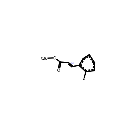 CC(C)(C)OC(=O)/C=C/c1ccccc1F